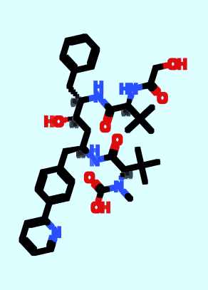 CN(C(=O)O)[C@H](C(=O)N[C@@H](Cc1ccc(-c2ccccn2)cc1)C[C@H](O)[C@H](Cc1ccccc1)NC(=O)[C@@H](NC(=O)CO)C(C)(C)C)C(C)(C)C